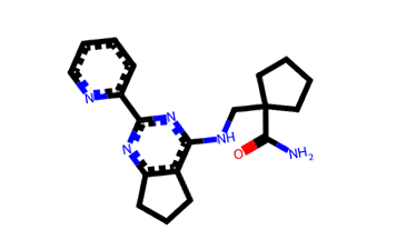 NC(=O)C1(CNc2nc(-c3ccccn3)nc3c2CCC3)CCCC1